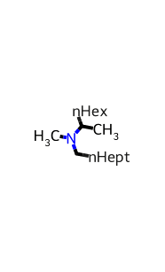 CCCCCCCCN(C)C(C)CCCCCC